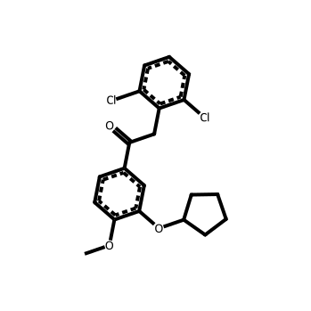 COc1ccc(C(=O)Cc2c(Cl)cccc2Cl)cc1OC1CCCC1